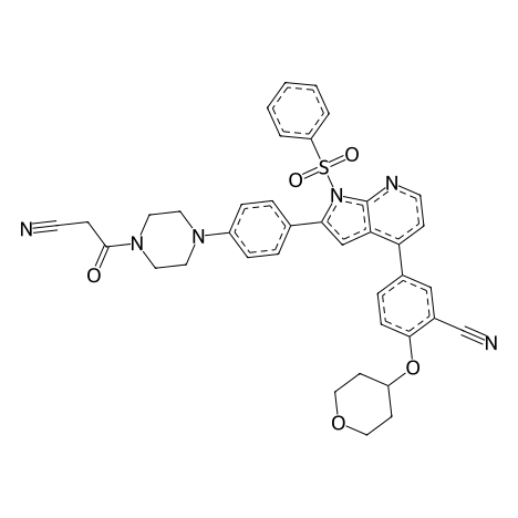 N#CCC(=O)N1CCN(c2ccc(-c3cc4c(-c5ccc(OC6CCOCC6)c(C#N)c5)ccnc4n3S(=O)(=O)c3ccccc3)cc2)CC1